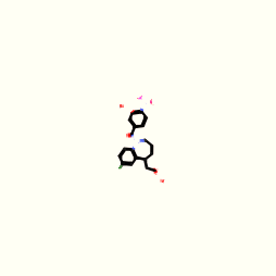 COC(=O)CC1CCCN(C(=O)c2ccc([N+](=O)[O-])c(OC)c2)c2ccc(Cl)cc21